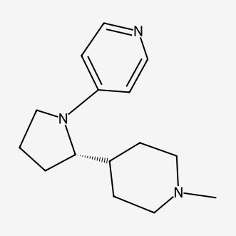 CN1CCC([C@@H]2CCCN2c2ccncc2)CC1